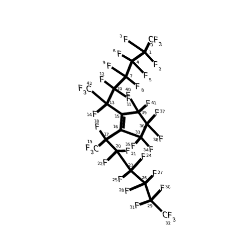 FC(F)(F)C(F)(F)C(F)(F)C(F)(F)C(F)(F)C(F)(C1=C(C(F)(C(F)(F)F)C(F)(F)C(F)(F)C(F)(F)C(F)(F)C(F)(F)F)C(F)(F)C(F)(F)C1(F)F)C(F)(F)F